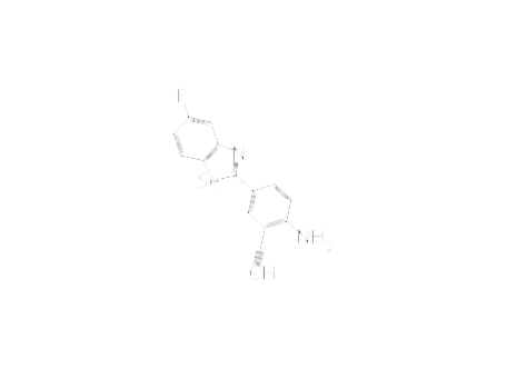 C#Cc1cc(-c2nc3cc(F)ccc3[se]2)ccc1N